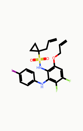 C=CCOc1cc(F)c(F)c(Nc2ccc(I)cc2)c1NS(=O)(=O)C1(CC=C)CC1